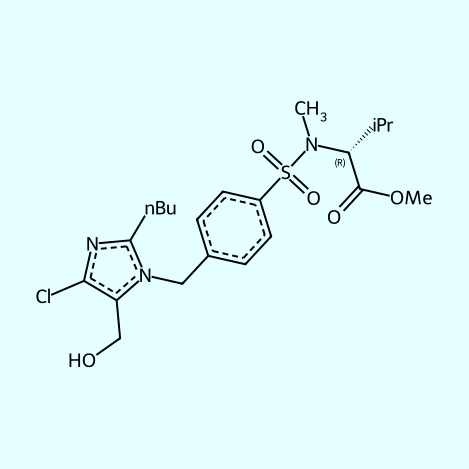 CCCCc1nc(Cl)c(CO)n1Cc1ccc(S(=O)(=O)N(C)[C@@H](C(=O)OC)C(C)C)cc1